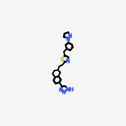 c1cc(Cc2cnc(CCC3CCc4ccc(-c5c[nH]nn5)cc4C3)s2)cc(-n2cccn2)c1